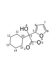 [O]C(=O)C(O)(c1ccco1)C1CCCCC1